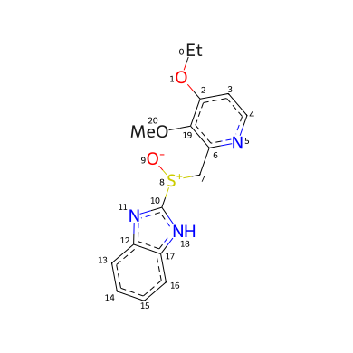 CCOc1ccnc(C[S+]([O-])c2nc3ccccc3[nH]2)c1OC